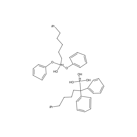 CC(C)CCCCC(c1ccccc1)(c1ccccc1)[PH](O)(O)O.CC(C)CCCCC[PH](O)(Oc1ccccc1)Oc1ccccc1